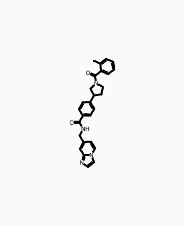 Cc1ccccc1C(=O)N1CCC(c2ccc(C(=O)NCc3ccn4ccnc4c3)cc2)C1